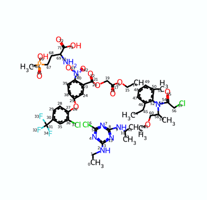 CCNc1nc(Cl)nc(NC(C)C)n1.CCOC(=O)COC(=O)c1cc(Oc2ccc(C(F)(F)F)cc2Cl)ccc1[N+](=O)[O-].CCc1cccc(C)c1N(C(=O)CCl)C(C)COC.CP(=O)(O)CCC(N)C(=O)O